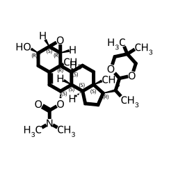 CC(C1OCC(C)(C)CO1)[C@H]1CC[C@H]2[C@@H]3[C@H](OC(=O)N(C)C)C=C4C[C@@H](O)[C@@H]5O[C@@H]5[C@]4(C)[C@H]3CC[C@]12C